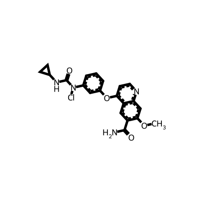 COc1cc2nccc(Oc3cccc(N(Cl)C(=O)NC4CC4)c3)c2cc1C(N)=O